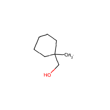 [CH2]C1(CO)CCCCC1